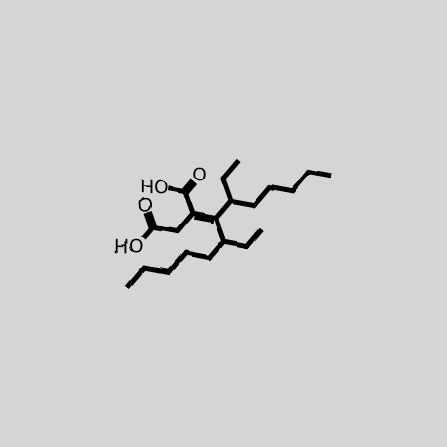 CCCCCC(CC)C(=C(CC(=O)O)C(=O)O)C(CC)CCCCC